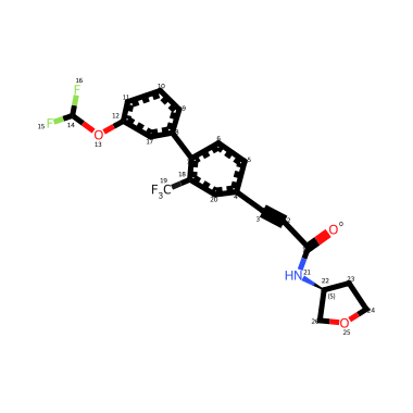 O=C(C#Cc1ccc(-c2cccc(OC(F)F)c2)c(C(F)(F)F)c1)N[C@H]1CCOC1